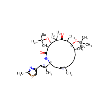 C/C1=C/C[C@@H](/C(C)=C/c2csc(C)n2)NC(=O)CC(O[Si](C)(C)C(C)(C)C)C(C)(C)C(=O)C(C)[C@@H](O[Si](C)(C)C(C)(C)C)C(C)CCC1